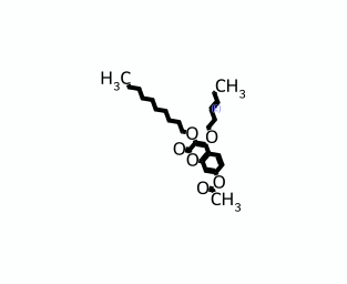 CC/C=C/CCOc1c(OCCCCCCCCCC)c(=O)oc2cc(OC(C)=O)ccc12